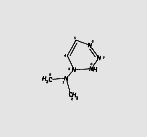 CN(C)N1C=CN=NN1